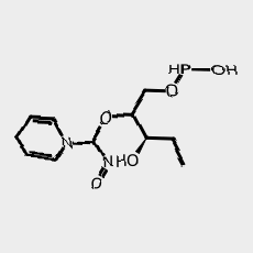 CC[C@@H](O)C(COPO)OC(N=O)N1C=CCC=C1